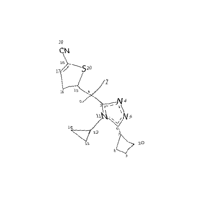 CC(C)(c1nnc(C2CCC2)n1C1CC1)C1CC=C(C#N)S1